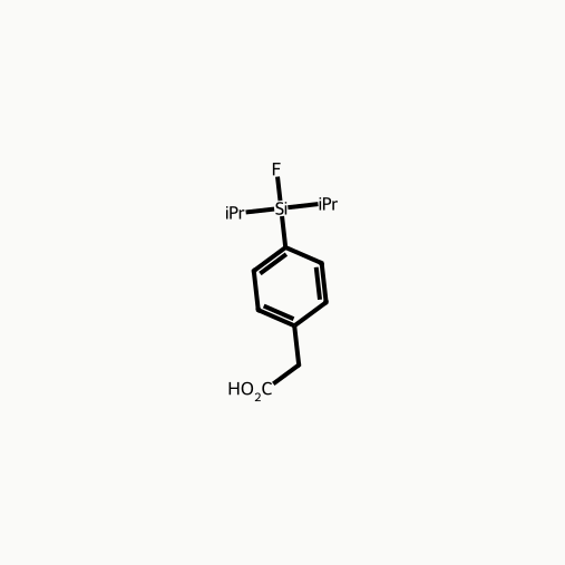 CC(C)[Si](F)(c1ccc(CC(=O)O)cc1)C(C)C